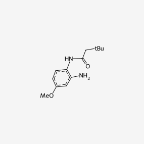 COc1ccc(NC(=O)CC(C)(C)C)c(N)c1